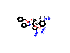 CC(=O)O[C@H]1[C@@H](CC(=O)O)[C@H](N=[N+]=[N-])C[C@H](N=[N+]=[N-])[C@H]1O[C@H]1O[C@H]([C@@H](C2CC2)N(Cc2ccccc2)C(=O)OCc2ccccc2)CCC1N=[N+]=[N-]